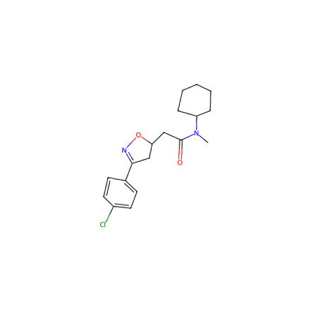 CN(C(=O)CC1CC(c2ccc(Cl)cc2)=NO1)C1CCCCC1